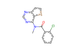 CN(C(=O)c1ccccc1Cl)c1ncnc2ccsc12